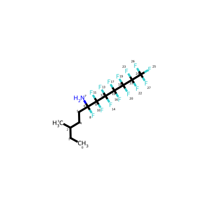 CCC(C)CCC(N)(F)C(F)(F)C(F)(F)C(F)(F)C(F)(F)C(F)(F)C(F)(F)F